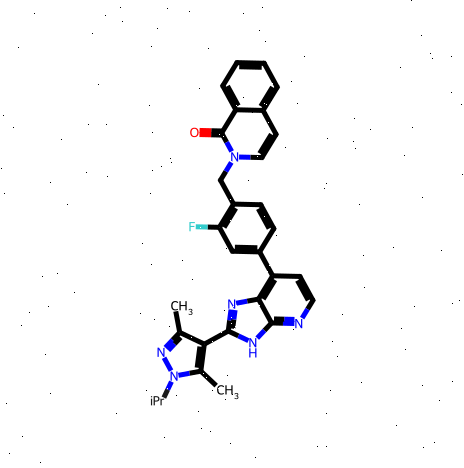 Cc1nn(C(C)C)c(C)c1-c1nc2c(-c3ccc(Cn4ccc5ccccc5c4=O)c(F)c3)ccnc2[nH]1